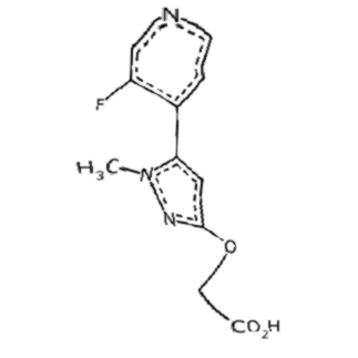 Cn1nc(OCC(=O)O)cc1-c1ccncc1F